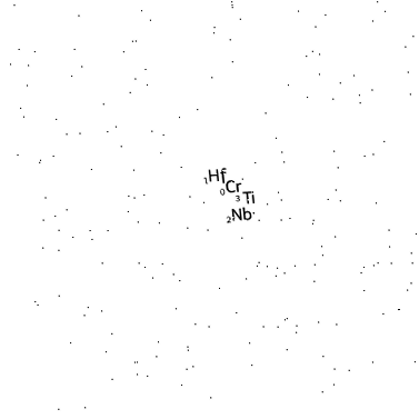 [Cr].[Hf].[Nb].[Ti]